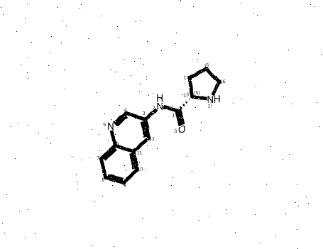 O=C(Nc1cnc2ccccc2c1)[C@@H]1CCCN1